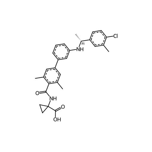 Cc1cc([C@@H](C)Nc2cccc(-c3cc(C)c(C(=O)NC4(C(=O)O)CC4)c(C)c3)c2)ccc1Cl